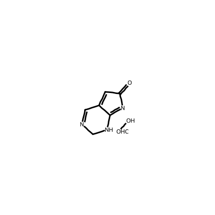 O=C1C=C2C=NCNC2=N1.O=CO